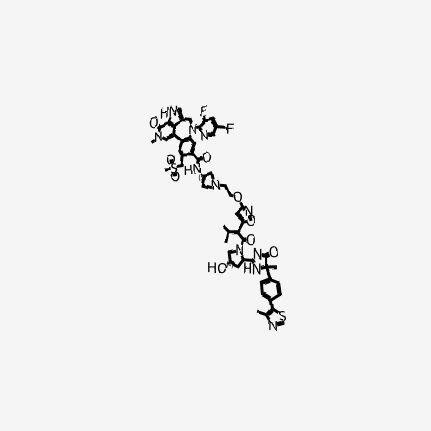 Cc1ncsc1-c1ccc(C2(C)NC(C3C[C@@H](O)CN3C(=O)C(c3cc(OCCN4CC[C@H](NC(=O)c5cc6c(cc5CS(C)(=O)=O)-c5cn(C)c(=O)c7[nH]cc(c57)CN6c5ncc(F)cc5F)C4)no3)C(C)C)=NC2=O)cc1